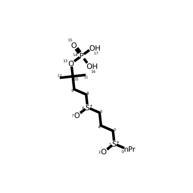 CCC[S+]([O-])CCC[S+]([O-])CCC(C)(C)OP(=O)(O)O